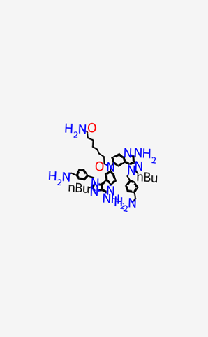 CCCCc1nc2c(N)nc3ccc(N(C(=O)CCCCCCC(N)=O)c4ccc5nc(N)c6nc(CCCC)n(Cc7ccc(CN)cc7)c6c5c4)cc3c2n1Cc1ccc(CN)cc1